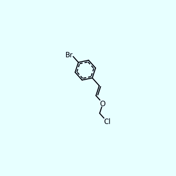 ClCOC=Cc1ccc(Br)cc1